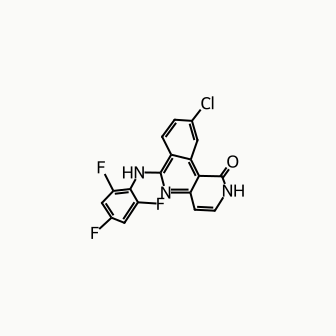 O=c1[nH]ccc2nc(Nc3c(F)cc(F)cc3F)c3ccc(Cl)cc3c12